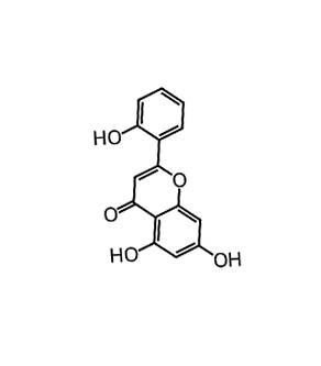 O=c1cc(-c2ccccc2O)oc2cc(O)cc(O)c12